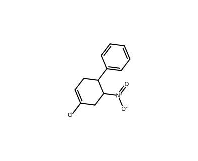 O=[N+]([O-])C1CC(Cl)=CCC1c1ccccc1